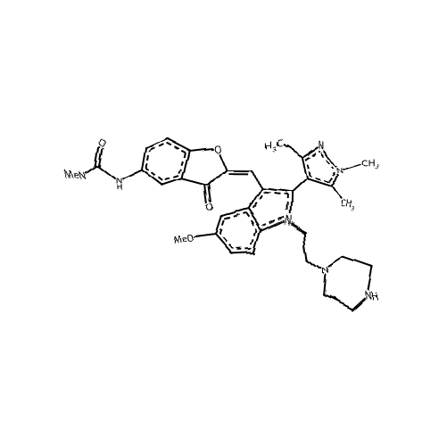 CNC(=O)Nc1ccc2c(c1)C(=O)C(=Cc1c(-c3c(C)nn(C)c3C)n(CCN3CCNCC3)c3ccc(OC)cc13)O2